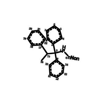 CCCCCCCCCPC(c1ccccc1)(c1ccccc1)C(C)c1ccccc1